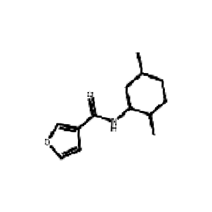 CC1CCC(C)C(NC(=O)c2ccoc2)C1